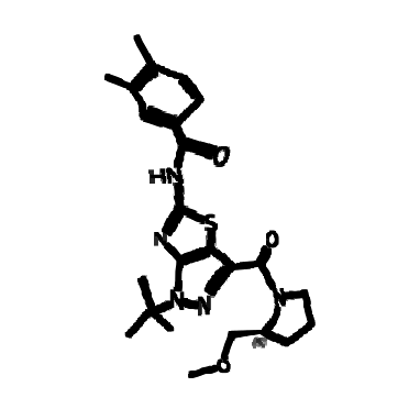 COC[C@@H]1CCCN1C(=O)c1nn(C(C)(C)C)c2nc(NC(=O)c3ccc(C)c(C)c3)sc12